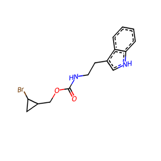 O=C(NCCc1c[nH]c2ccccc12)OCC1CC1Br